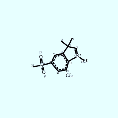 CC[N+]1=CC(C)(C)c2cc(S(C)(=O)=O)ccc21.[Cl-]